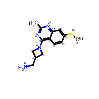 Cc1nc(N2CC(CN)C2)c2ccc(SC(C)(C)C)cc2n1